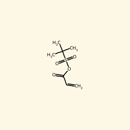 C=CC(=O)OS(=O)(=O)C(C)(C)C